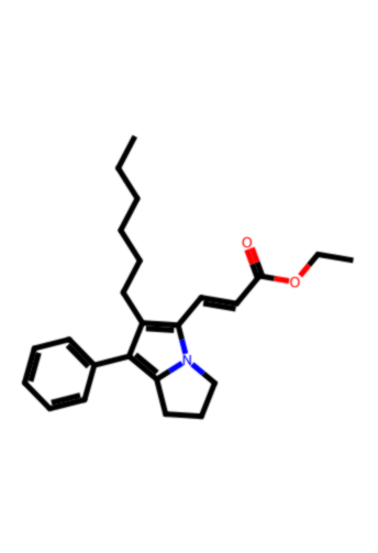 CCCCCCc1c(-c2ccccc2)c2n(c1C=CC(=O)OCC)CCC2